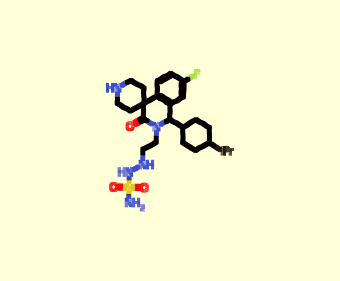 CC(C)C1CCC(C2c3cc(F)ccc3C3(CCNCC3)C(=O)N2CCNNS(N)(=O)=O)CC1